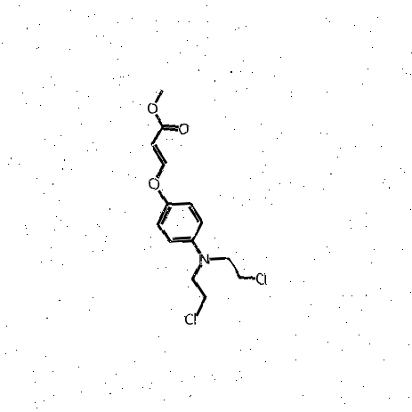 COC(=O)/C=C/Oc1ccc(N(CCCl)CCCl)cc1